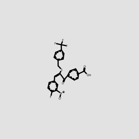 O=C(O)c1ccc(C(=O)/C(=C\c2ccc(F)c([N+](=O)[O-])c2)SCc2ccc(C(F)(F)F)cc2)cc1